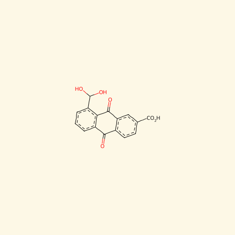 O=C(O)c1ccc2c(c1)C(=O)c1c(cccc1C(O)O)C2=O